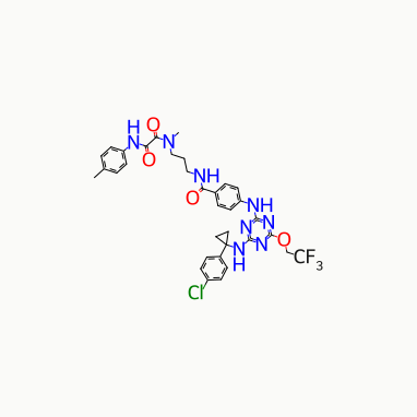 Cc1ccc(NC(=O)C(=O)N(C)CCCNC(=O)c2ccc(Nc3nc(NC4(c5ccc(Cl)cc5)CC4)nc(OCC(F)(F)F)n3)cc2)cc1